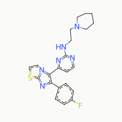 Fc1ccc(-c2nc3sccn3c2-c2ccnc(NCCN3CCCCC3)n2)cc1